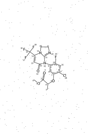 COC(=O)C(C)Oc1cc(N2C(=O)C=C(C(F)(F)F)N3CCN=C32)c(F)cc1Cl